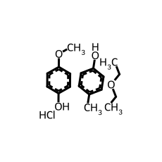 CCOCC.COc1ccc(O)cc1.Cc1ccc(O)cc1.Cl